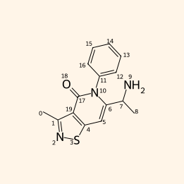 Cc1nsc2cc(C(C)N)n(-c3ccccc3)c(=O)c12